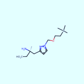 C[C@@](N)(CC(=O)O)Cc1ccn(COCC[Si](C)(C)C)n1